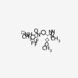 CCO[C@H]1C[C@H](C(c2cccc(N3Cc4c(cc(CNC5(C)CCC5)cc4C(F)(F)F)C3=O)c2)c2nncn2C)C1